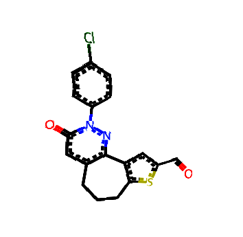 O=Cc1cc2c(s1)CCCc1cc(=O)n(-c3ccc(Cl)cc3)nc1-2